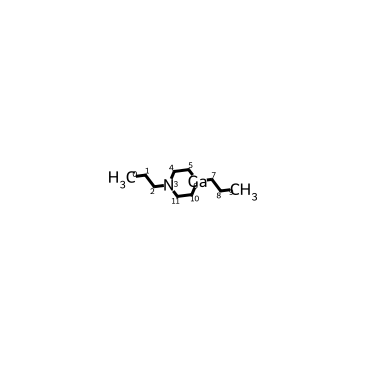 CCCN1C[CH2][Ga]([CH2]CC)[CH2]C1